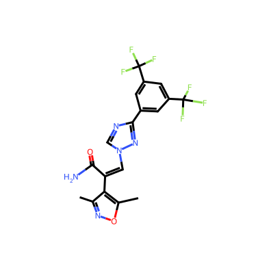 Cc1noc(C)c1C(=Cn1cnc(-c2cc(C(F)(F)F)cc(C(F)(F)F)c2)n1)C(N)=O